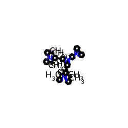 CC1(C)c2ccccc2N2c3ccccc3C(C)(C)c3cc(-c4ccc5c(c4)c4cc(-c6cc7c8c(c6)C(C)(C)c6ccccc6N8c6ccccc6C7(C)C)ccc4n5-c4ccc(-n5c6ccccc6c6ccccc65)cc4)cc1c32